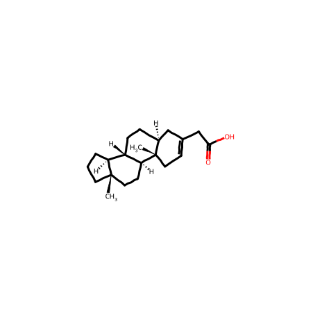 C[C@@]12CCC[C@H]1[C@@H]1CC[C@H]3CC(CC(=O)O)=CC[C@]3(C)[C@H]1CC2